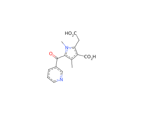 Cc1c(C(=O)O)c(CC(=O)O)n(C)c1C(=O)c1cccnc1